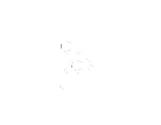 Cc1ccc(Nc2nc(N3CCC[C@H](C(=O)O)C3)nc3c(C(C)C)nn(CCOCC(F)(F)F)c23)nc1